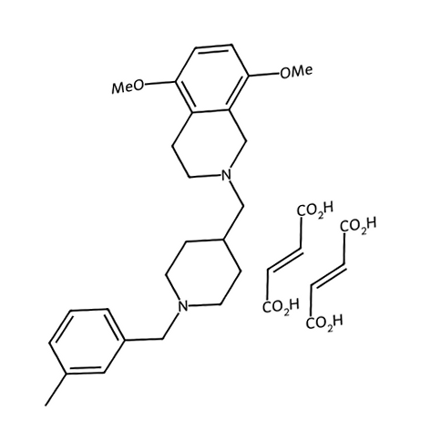 COc1ccc(OC)c2c1CCN(CC1CCN(Cc3cccc(C)c3)CC1)C2.O=C(O)C=CC(=O)O.O=C(O)C=CC(=O)O